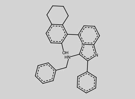 Oc1ccc2c(c1-c1cccc3nc(-c4ccccc4)c(NCc4ccccc4)n13)CCCC2